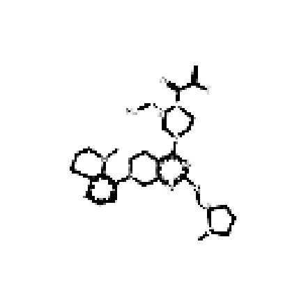 C=C(F)C(=O)N1CCN(c2nc(OC[C@@H]3CCCN3C)nc3c2CCN(c2cccc4c2N(C)CCC4)C3)C[C@@H]1CC#N